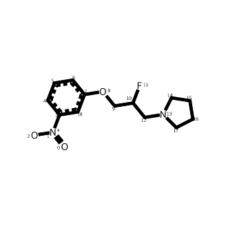 O=[N+]([O-])c1cccc(OCC(F)CN2CCCC2)c1